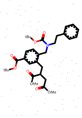 COC(=O)CC(Cc1cc(C(=O)OC(C)(C)C)ccc1CN(CCc1ccccc1)C(=O)OC(C)(C)C)C(=O)OC